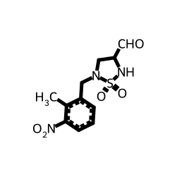 Cc1c(CN2CC(C=O)NS2(=O)=O)cccc1[N+](=O)[O-]